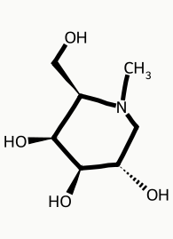 CN1C[C@H](O)[C@@H](O)[C@@H](O)[C@H]1CO